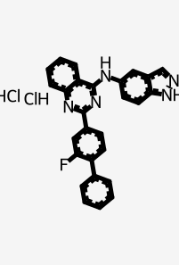 Cl.Cl.Fc1cc(-c2nc(Nc3ccc4[nH]ncc4c3)c3ccccc3n2)ccc1-c1ccccc1